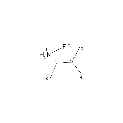 CCC(C)C.NF